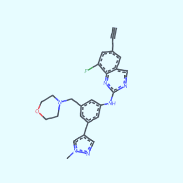 C#Cc1cc(F)c2nc(Nc3cc(CN4CCOCC4)cc(-c4cnn(C)c4)c3)ncc2c1